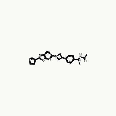 CC(=O)N[C@@H](C)c1ccc(C2CN(c3ncc4nc(-c5ccsc5)oc4n3)C2)cc1